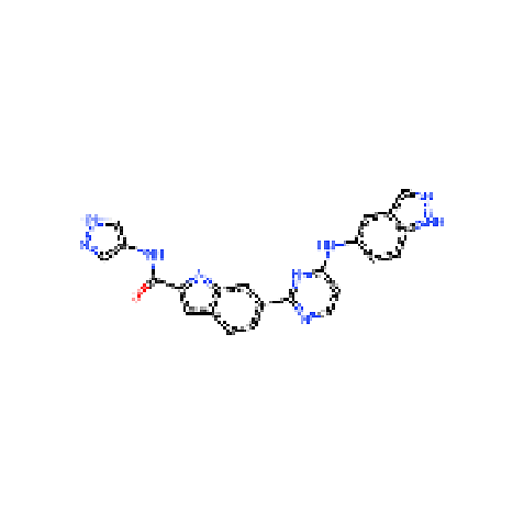 O=C(Nc1cn[nH]c1)c1cc2ccc(-c3nccc(Nc4ccc5[nH]ncc5c4)n3)cc2[nH]1